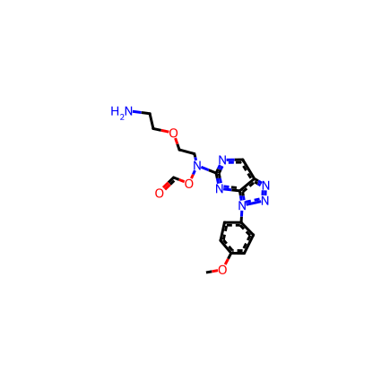 COc1ccc(-n2nnc3cnc(N(CCOCCN)OC=O)nc32)cc1